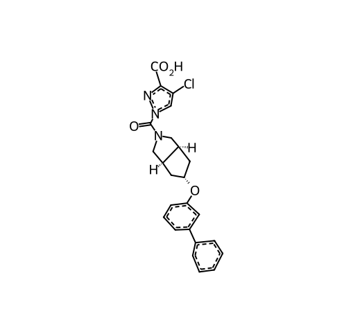 O=C(O)c1nn(C(=O)N2C[C@H]3C[C@H](Oc4cccc(-c5ccccc5)c4)C[C@H]3C2)cc1Cl